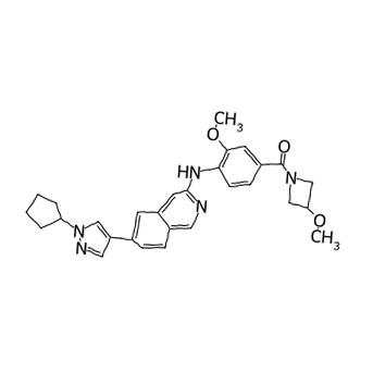 COc1cc(C(=O)N2CC(OC)C2)ccc1Nc1cc2cc(-c3cnn(C4CCCC4)c3)ccc2cn1